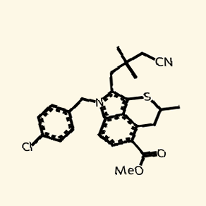 COC(=O)c1ccc2c3c1CC(C)Sc3c(CC(C)(C)CC#N)n2Cc1ccc(Cl)cc1